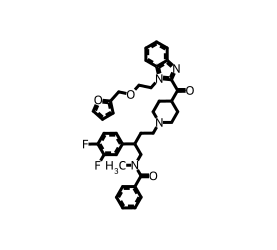 CN(CC(CCN1CCC(C(=O)c2nc3ccccc3n2CCOCc2ccco2)CC1)c1ccc(F)c(F)c1)C(=O)c1ccccc1